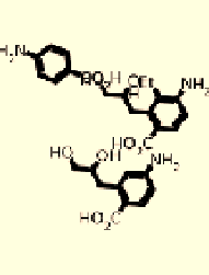 CCc1c(N)ccc(C(=O)O)c1CC(O)CO.Nc1ccc(C(=O)O)c(CC(O)CO)c1.Nc1ccc(C(=O)O)cc1